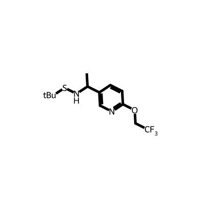 CC(NSC(C)(C)C)c1ccc(OCC(F)(F)F)nc1